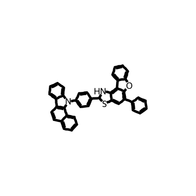 c1ccc(-c2cc3c(c4c2oc2ccccc24)NC(c2ccc(-n4c5ccccc5c5ccc6ccccc6c54)cc2)S3)cc1